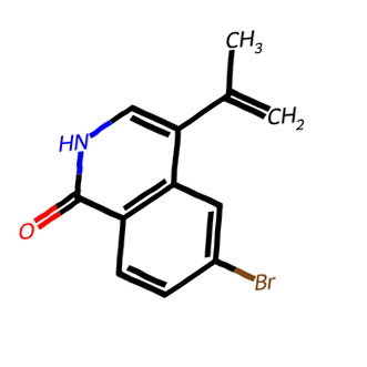 C=C(C)c1c[nH]c(=O)c2ccc(Br)cc12